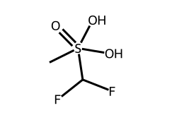 CS(=O)(O)(O)C(F)F